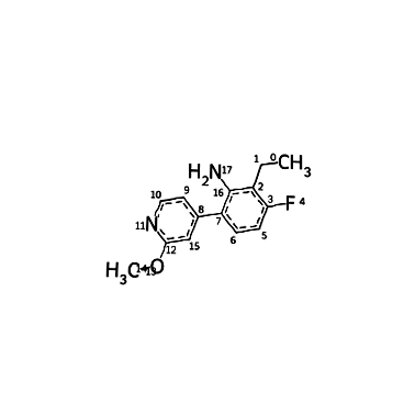 CCc1c(F)ccc(-c2ccnc(OC)c2)c1N